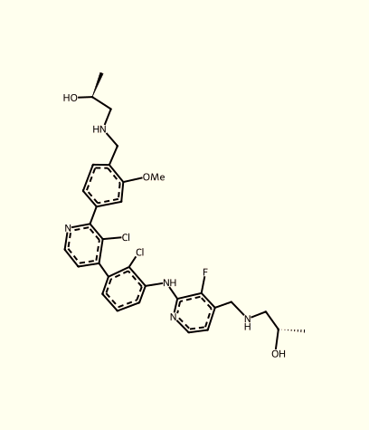 COc1cc(-c2nccc(-c3cccc(Nc4nccc(CNC[C@H](C)O)c4F)c3Cl)c2Cl)ccc1CNC[C@H](C)O